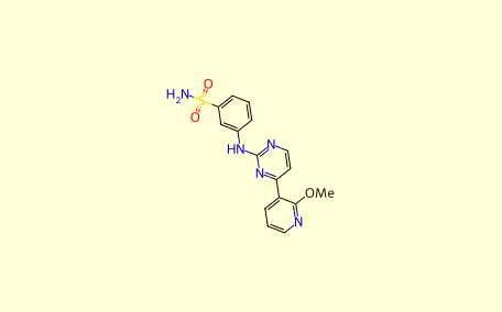 COc1ncccc1-c1ccnc(Nc2cccc(S(N)(=O)=O)c2)n1